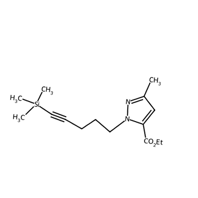 CCOC(=O)c1cc(C)nn1CCCC#C[Si](C)(C)C